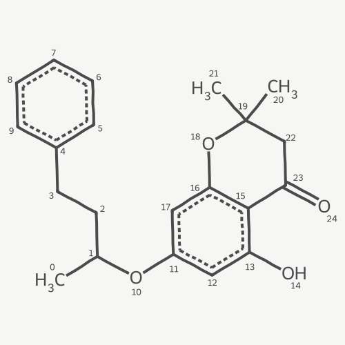 CC(CCc1ccccc1)Oc1cc(O)c2c(c1)OC(C)(C)CC2=O